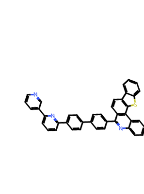 c1cncc(-c2cccc(-c3ccc(-c4ccc(-c5nc6ccccc6c6c5ccc5c7ccccc7sc56)cc4)cc3)n2)c1